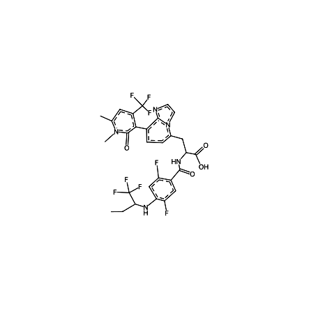 CCC(Nc1cc(F)c(C(=O)NC(Cc2ccc(-c3c(C(F)(F)F)cc(C)n(C)c3=O)c3nccn23)C(=O)O)cc1F)C(F)(F)F